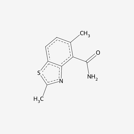 Cc1nc2c(C(N)=O)c(C)ccc2s1